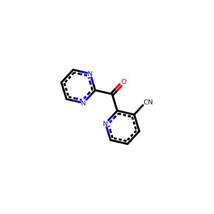 N#Cc1cccnc1C(=O)c1ncccn1